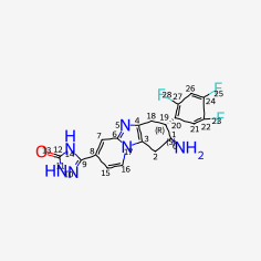 N[C@H]1Cc2c(nc3cc(-c4n[nH]c(=O)[nH]4)ccn23)C[C@@H]1c1cc(F)c(F)cc1F